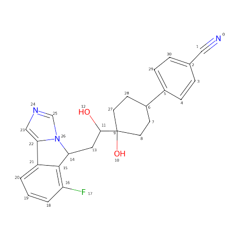 N#Cc1ccc(C2CCC(O)(C(O)CC3c4c(F)cccc4-c4cncn43)CC2)cc1